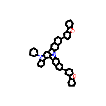 c1ccc(-n2c3ccccc3c3c4c5cc6ccc(-c7ccc8oc9ccccc9c8c7)cc6cc5n5c6cc7cc(-c8ccc9oc%10ccccc%10c9c8)ccc7cc6c(cc32)c45)cc1